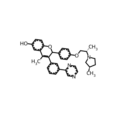 CC1=C(c2cccc(-c3cnccn3)c2)C(c2ccc(OC[C@H](C)N3CC[C@@H](C)C3)cc2)Oc2ccc(O)cc21